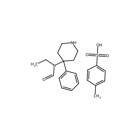 CCN(C=O)C1(c2ccccc2)CCNCC1.Cc1ccc(S(=O)(=O)O)cc1